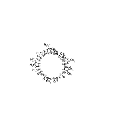 CC(C)C[C@@H]1C(=O)N(C)C(=O)N(C)C(C(C)C)C(=O)N(C)C(=O)NC(=O)N(C)CC(=O)NCC(=O)NC(C(C)C)N(C)[C@H](CC(C)C)NC(C)C(=O)NC(=O)N1C